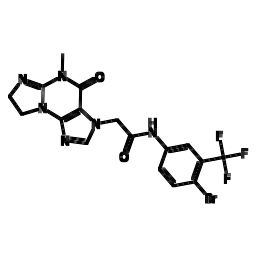 CN1C(=O)c2c(ncn2CC(=O)Nc2ccc(Br)c(C(F)(F)F)c2)N2CCN=C12